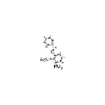 CC(=O)Nc1c(OCc2ccccc2)cccc1[N+](=O)[O-]